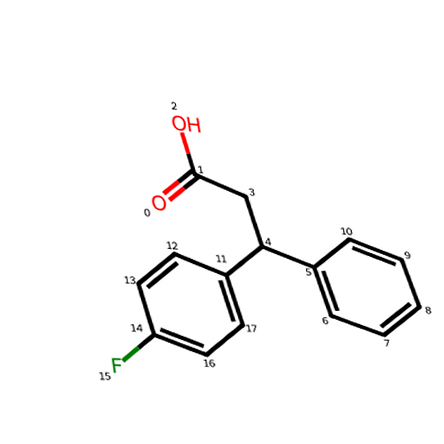 O=C(O)CC(c1ccccc1)c1ccc(F)cc1